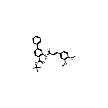 COc1ccc(/C=C/C(=O)Nc2cc(-c3ccccc3)ccc2C(=O)OC(C)(C)C)cc1OC